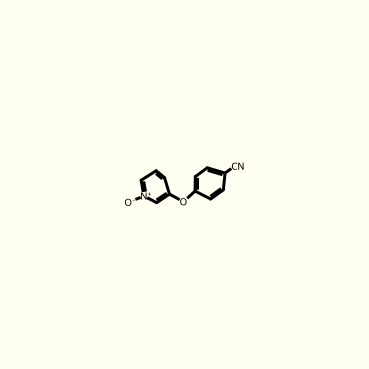 N#Cc1ccc(Oc2ccc[n+]([O-])c2)cc1